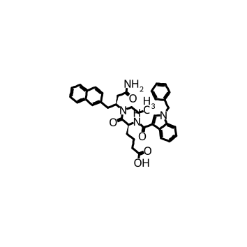 CCCN(C(=O)[C@H](CCCC(=O)O)NC(=O)c1cn(Cc2ccccc2)c2ccccc12)[C@H](CC(N)=O)Cc1ccc2ccccc2c1